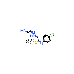 CS/C(CN/N=C\C=N)=N/c1ccc(Cl)cc1